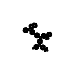 Cc1ccc(N(c2ccc(N(c3ccc(-c4ccc5c(c4)c4c6ccccc6ccc4n5-c4ccccc4)cc3)c3ccc4c(c3)C(C)(C)c3ccccc3-4)cc2)c2ccc(C(C)(C)C)cc2)cc1